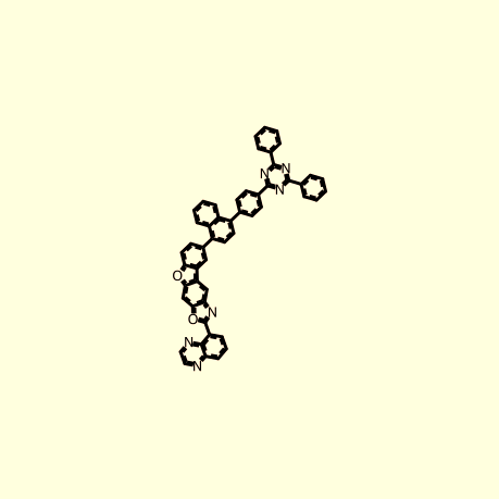 c1ccc(-c2nc(-c3ccccc3)nc(-c3ccc(-c4ccc(-c5ccc6oc7cc8oc(-c9cccc%10nccnc9%10)nc8cc7c6c5)c5ccccc45)cc3)n2)cc1